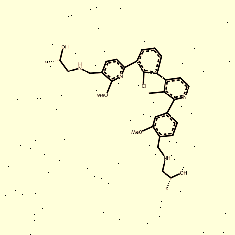 COc1cc(-c2nccc(-c3cccc(-c4ccc(CNC[C@H](C)O)c(OC)n4)c3Cl)c2C)ccc1CNC[C@@H](C)O